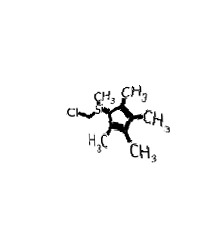 CC1=C(C)C(=[Si](C)CCl)C(C)=C1C